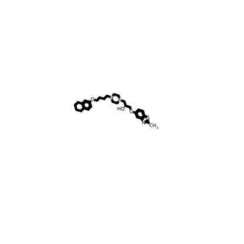 Cc1nc2cc(OC[C@H](O)CN3CCN(CCCCOc4ccc5c(c4)CCCC5)CC3)ccc2s1